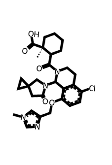 Cn1cnc(COc2ccc(Cl)c3c2C(N2CC4(CC4)CC2=O)N(C(=O)C2CCCC[C@]2(C)C(=O)O)CC3)c1